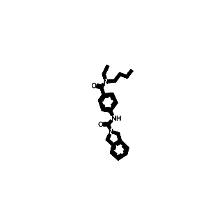 CCCCN(CC)C(=O)c1ccc(NC(=O)N2Cc3ccccc3C2)cc1